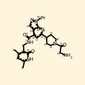 Cc1cc(C)c(CNC(=O)c2cc(C3CCN(C(=O)CN)CC3)nc3c2cnn3C(C)C)c(=O)[nH]1